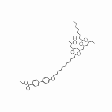 CCCCCCCC1OC(CC)CC(CC2CC(CC(C)O)OC(CCCCCCCCCCOc3ccc(-c4ccc(C(=O)OCC)cc4)cc3)O2)O1